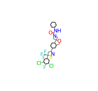 O=C(Nc1ccccc1)N1CC2(C1)OCc1cc(C3=NSC(c4cc(Cl)c(F)c(Cl)c4)(C(F)(F)F)C3)ccc12